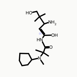 CN(C1CCCCC1)C(C)(C)C(=O)N/C(O)=C/C(N)C(C)(C)CO